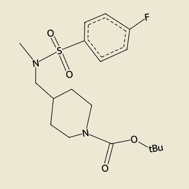 CN(CC1CCN(C(=O)OC(C)(C)C)CC1)S(=O)(=O)c1ccc(F)cc1